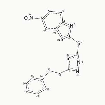 O=[N+]([O-])c1ccc2nc(Sc3nnc(CCc4ccccc4)s3)sc2c1